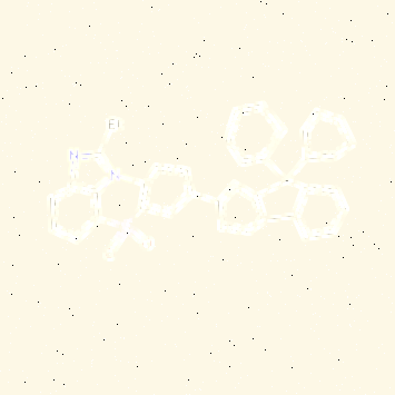 CCc1nc2cccc3c2n1-c1ccc(-c2ccc4c(c2)C(c2ccccc2)(c2ccccc2)c2ccccc2-4)cc1S3(=O)=O